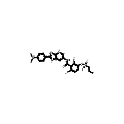 CCCS(=O)(=O)Nc1ccc(F)c(C(=O)Nc2cnc3[nH]c(-c4ccc(N(C)C)cc4)nc3c2)c1F